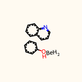 Oc1ccccc1.[BeH2].c1ccc2ncccc2c1